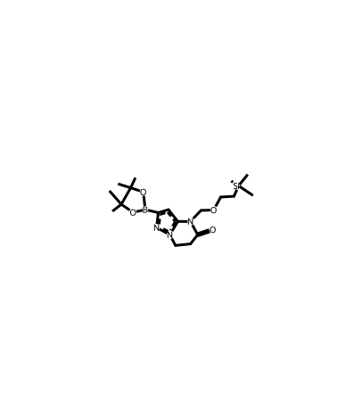 CC1(C)OB(c2cc3n(n2)CCC(=O)N3COCC[Si](C)(C)C)OC1(C)C